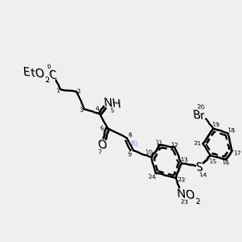 CCOC(=O)CCCC(=N)C(=O)/C=C/c1ccc(Sc2cccc(Br)c2)c([N+](=O)[O-])c1